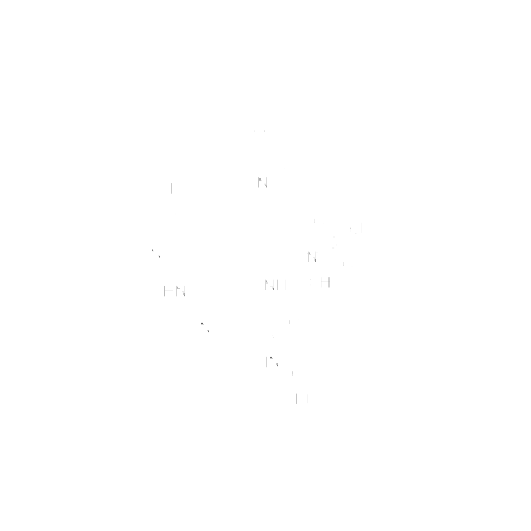 CCONC(=O)c1cnc(Nc2ccc(F)cn2)cc1Nc1ccc(N2CCOCC2)cc1N(C)S(C)(=O)=O